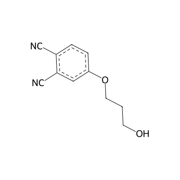 N#Cc1ccc(OCCCO)cc1C#N